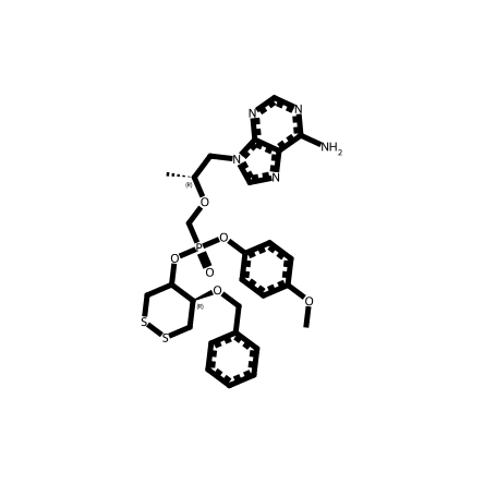 COc1ccc(OP(=O)(CO[C@H](C)Cn2cnc3c(N)ncnc32)OC2CSSC[C@@H]2OCc2ccccc2)cc1